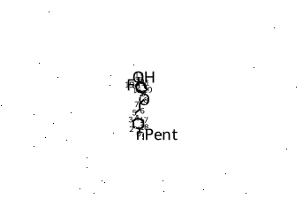 CCCCC[C@H]1CC[C@H](CCCOc2ccc(O)c(F)c2)CC1